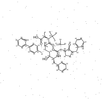 CN(C(=O)O)[C@H](C(=O)N[C@@H](Cc1ccc(-c2ccccn2)cc1)C[C@H](O)[C@H](Cc1ccccc1)NC(=O)[C@@H](N1CCN(Cc2ccccn2)C1=O)C(C)(C)C)C(C)(C)C